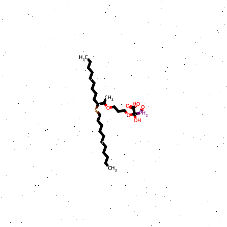 CCCCCCCCCCCSC(CCCCCCCCC)C(C)OCCCOC(O)([PH2]=O)C(=O)O